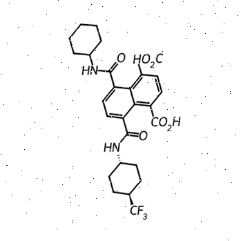 O=C(O)c1ccc(C(=O)O)c2c(C(=O)N[C@H]3CC[C@H](C(F)(F)F)CC3)ccc(C(=O)NC3CCCCC3)c12